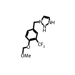 COCOc1ccc(CN2C=CNN2)cc1C(F)(F)F